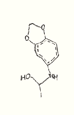 CC(O)Nc1ccc2c(c1)OCO2